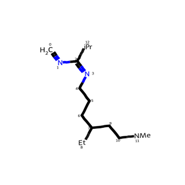 C=N/C(=N\CCCC(CC)CCNC)C(C)C